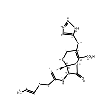 N#CC=CSCC(=O)N[C@@H]1C(=O)N2C(C(=O)O)=C(Sc3cnn[nH]3)CS[C@@H]12